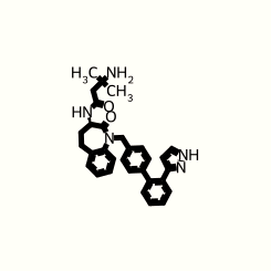 CC(C)(N)CC(=O)N[C@@H]1CCc2ccccc2N(Cc2ccc(-c3ccccc3-c3cc[nH]n3)cc2)C1=O